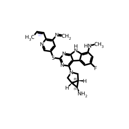 C=Nc1cc(Sc2nc(N3C[C@@H]4[C@@H](N)[C@@H]4C3)c3c(n2)[nH]c2c(NC)cc(F)cc23)cnc1/C=C\C